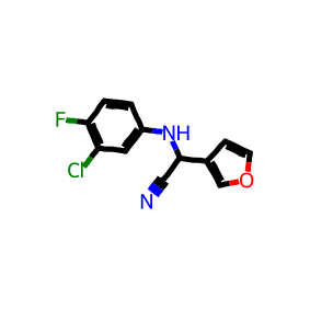 N#CC(Nc1ccc(F)c(Cl)c1)c1ccoc1